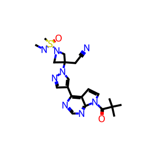 CN=S(C)(=O)N1CC(CC#N)(n2cc(-c3ncnc4c3ccn4C(=O)C(C)(C)C)cn2)C1